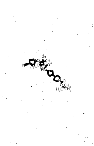 CC(C)(C)OC(=O)N1CCC(c2ccc(NC(=O)[C@H]3C(C)(C)[C@H](Oc4ccc(C#N)c(Cl)c4)C3(C)C)cc2)CC1